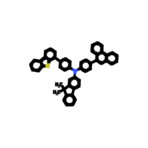 CC1(C)c2ccccc2-c2ccc(N(c3ccc(-c4cc5ccccc5c5ccccc45)cc3)c3ccc(-c4cccc5c4sc4ccccc45)cc3)cc21